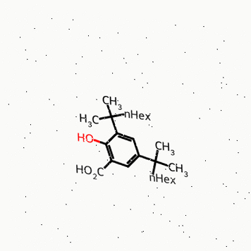 CCCCCCC(C)(C)c1cc(C(=O)O)c(O)c(C(C)(C)CCCCCC)c1